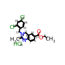 CCOC(=O)c1ccc2c(c1)CN(Cc1ccc(Cl)cc1Cl)C(C)=N2.Cl